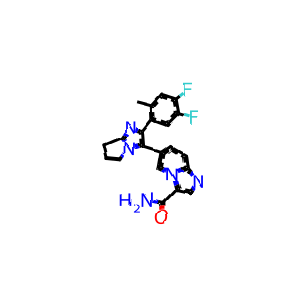 Cc1cc(F)c(F)cc1-c1nc2n(c1-c1ccc3ncc(C(N)=O)n3c1)CCC2